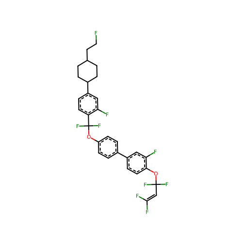 FCCC1CCC(c2ccc(C(F)(F)Oc3ccc(-c4ccc(OC(F)(F)C=C(F)F)c(F)c4)cc3)c(F)c2)CC1